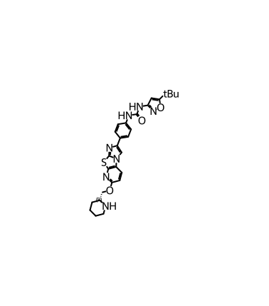 CC(C)(C)c1cc(NC(=O)Nc2ccc(-c3cn4c(n3)sc3nc(OC[C@H]5CCCCN5)ccc34)cc2)no1